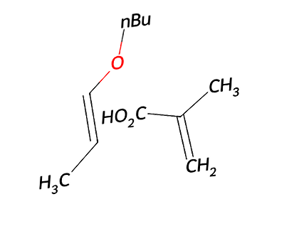 C=C(C)C(=O)O.CC=COCCCC